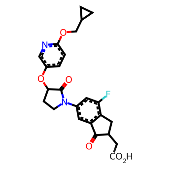 O=C(O)CC1Cc2c(F)cc(N3CCC(Oc4ccc(OCC5CC5)nc4)C3=O)cc2C1=O